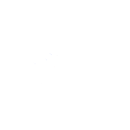 CCc1nc2ccccc2c(=O)n1NC(=O)Cc1ccc(C(F)(F)F)cc1